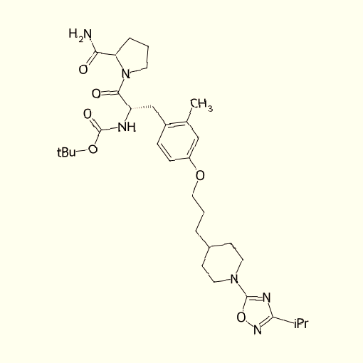 Cc1cc(OCCCC2CCN(c3nc(C(C)C)no3)CC2)ccc1C[C@H](NC(=O)OC(C)(C)C)C(=O)N1CCCC1C(N)=O